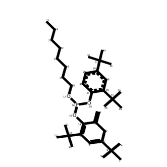 C=C1CC(C(C)(C)C)=CC(C(C)(C)C)=C1OP(OCCCCCCCC)Oc1ccc(C(C)(C)C)cc1C(C)(C)C